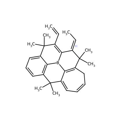 C=CC1=C2B3C4=C(CC=CC=C4C(C)(C)c4cccc(c43)C1(C)C)C(C)(C)/C2=C/C